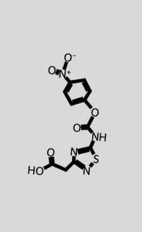 O=C(O)Cc1nsc(NC(=O)Oc2ccc([N+](=O)[O-])cc2)n1